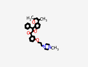 C=C1C=C(C)c2ccc3oc(C(=O)c4cccc(OCCCN5CCN(C)CC5)c4)c(-c4ccccc4)c3c2O1